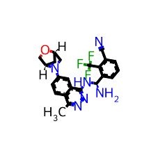 Cc1nnc(N[C@H](N)c2cccc(C#N)c2C(F)(F)F)c2cc(N3C[C@H]4C[C@@H]3CO4)ccc12